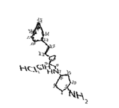 Cl.Cl.N[C@H]1CC[C@H](NCCOCCc2ccccc2)CC1